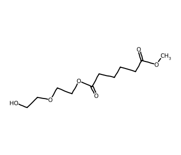 COC(=O)CCCCC(=O)OCCOCCO